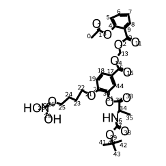 CC(=O)Oc1ccccc1C(=O)OCOC(=O)c1ccc(OCCCCON(O)O)c(OC(=O)C(C)NC(=O)OC(C)(C)C)c1